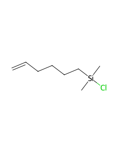 C=CCCCC[Si](C)(C)Cl